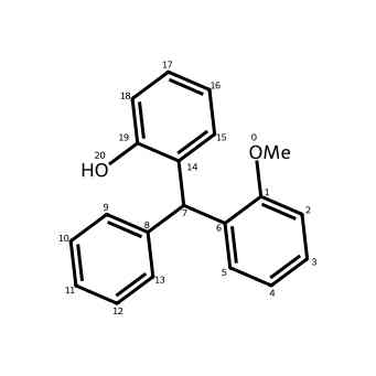 COc1ccccc1C(c1ccccc1)c1ccccc1O